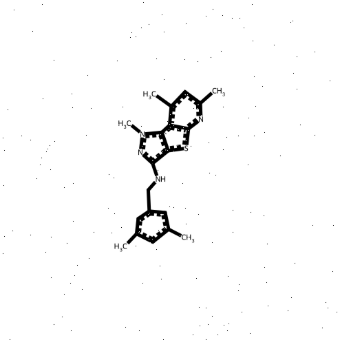 Cc1cc(C)cc(CNc2nn(C)c3c2sc2nc(C)cc(C)c23)c1